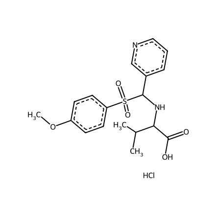 COc1ccc(S(=O)(=O)C(NC(C(=O)O)C(C)C)c2cccnc2)cc1.Cl